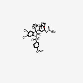 COc1ccc(S(=O)(=O)N2C(=O)C(c3cc(CNC(C)(C)C)ccc3OC)(N3CCC[C@H]3c3ncco3)c3cc(Cl)c(Cl)cc32)cc1